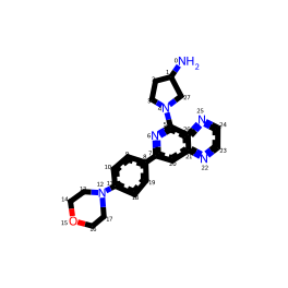 NC1CCN(c2nc(-c3ccc(N4CCOCC4)cc3)cc3nccnc23)C1